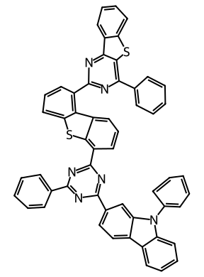 c1ccc(-c2nc(-c3ccc4c5ccccc5n(-c5ccccc5)c4c3)nc(-c3cccc4c3sc3cccc(-c5nc(-c6ccccc6)c6sc7ccccc7c6n5)c34)n2)cc1